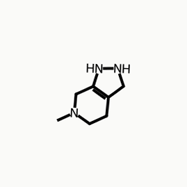 CN1CCC2=C(C1)NNC2